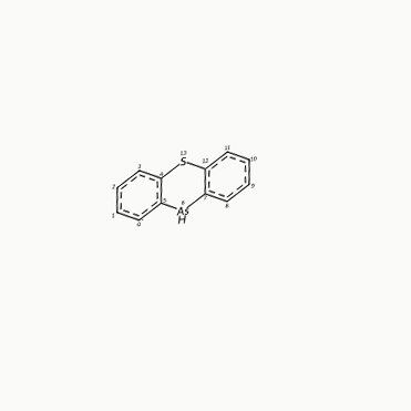 [c]1cccc2c1[AsH]c1ccccc1S2